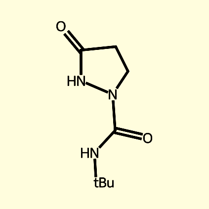 CC(C)(C)NC(=O)N1CCC(=O)N1